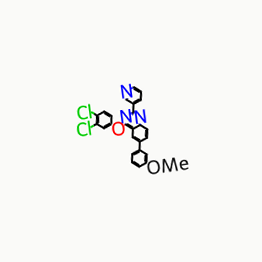 COc1cccc(-c2ccc3nc(-c4cccnc4)nc(Oc4ccc(Cl)c(Cl)c4)c3c2)c1